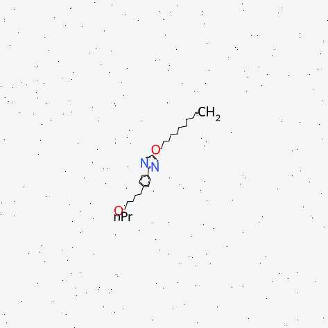 C=CCCCCCCCCCOc1cnc(-c2ccc(CCCCCOCCC)cc2)nc1